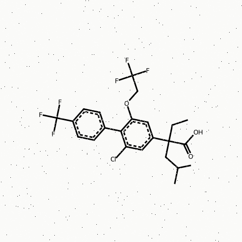 CCC(CC(C)C)(C(=O)O)c1cc(Cl)c(-c2ccc(C(F)(F)F)cc2)c(OCC(F)(F)F)c1